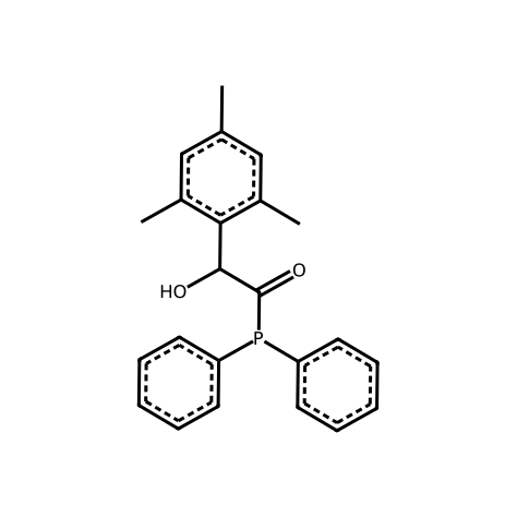 Cc1cc(C)c(C(O)C(=O)P(c2ccccc2)c2ccccc2)c(C)c1